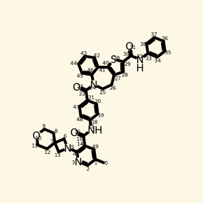 Cc1cnc(N2CC3(CCOCC3)C2)c(C(=O)Nc2ccc(C(=O)N3CCc4cc(C(=O)Nc5ccccc5)sc4-c4ccccc43)cc2)c1